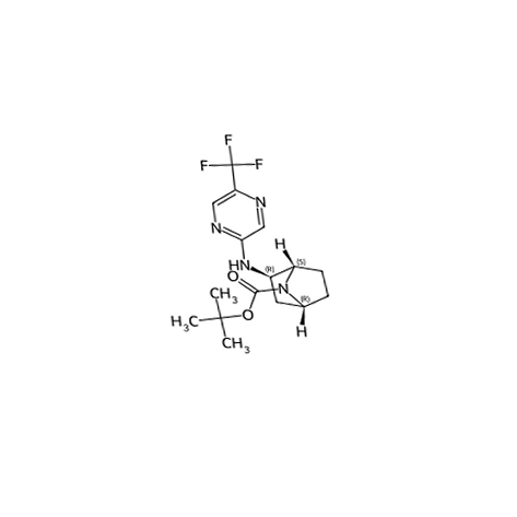 CC(C)(C)OC(=O)N1[C@@H]2CC[C@H]1[C@H](Nc1cnc(C(F)(F)F)cn1)C2